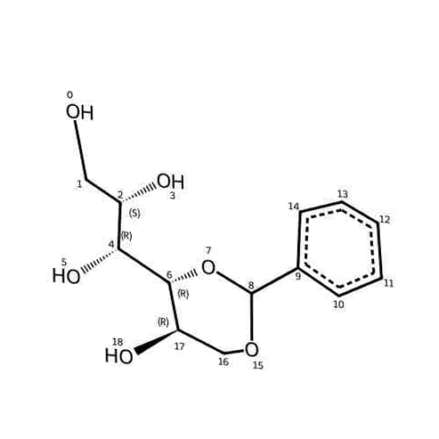 OC[C@H](O)[C@@H](O)[C@@H]1OC(c2ccccc2)OC[C@H]1O